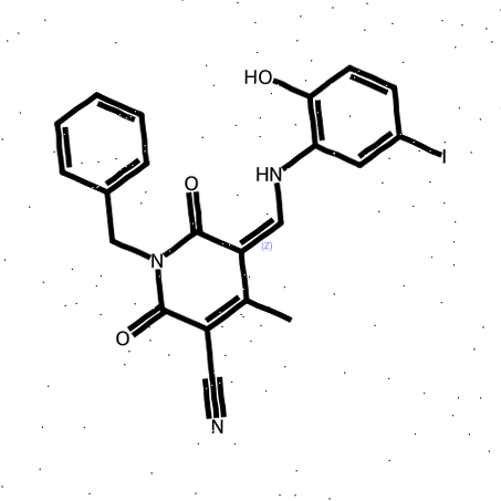 CC1=C(C#N)C(=O)N(Cc2ccccc2)C(=O)/C1=C\Nc1cc(I)ccc1O